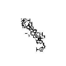 Cc1c(Nc2nccc3cc(CN4CC[C@H](O)C4)cnc23)cccc1-c1cccc(-c2nc3cc(CN4CC[C@H](C(=O)O)C4)cc(Cl)c3o2)c1C